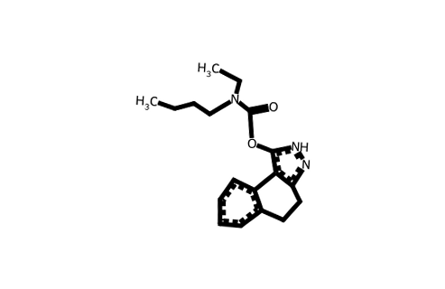 CCCCN(CC)C(=O)Oc1[nH]nc2c1-c1ccccc1CC2